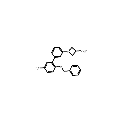 O=C(O)C1CN(c2cccc(-c3cc(C(F)(F)F)ccc3OCc3ccccc3)c2)C1